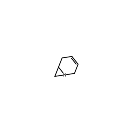 C1=CCN2CC2C1